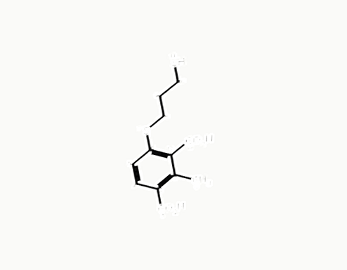 Cc1c(C(=O)O)ccc(SCCCS)c1C(=O)O